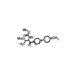 CO[C@H](C)[C@@H](NC(=O)OC(C)(C)C)C(=O)N1CCN(C2CCN(C)CC2)CC1